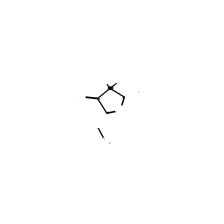 CC1[C@@H](CO)O[C@@H](C)C1(F)F